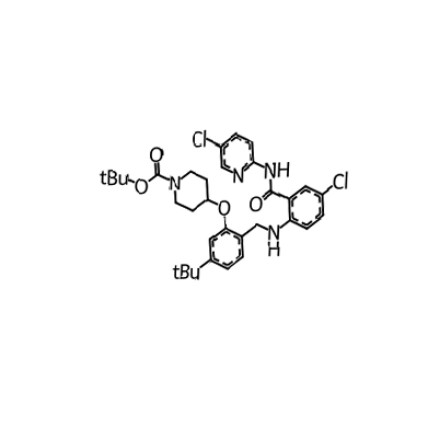 CC(C)(C)OC(=O)N1CCC(Oc2cc(C(C)(C)C)ccc2CNc2ccc(Cl)cc2C(=O)Nc2ccc(Cl)cn2)CC1